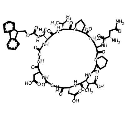 CC(C)[C@@H]1NC(=O)[C@@H](C(C)NC(=O)OCC2c3ccccc3-c3ccccc32)NC(=O)CNC(=O)C(CC(=O)O)NC(=O)CNC(=O)[C@H](CC(=O)O)NC(=O)[C@H](C(C)C(=O)O)NC(=O)[C@H]2CCCCN2C(=O)C(NC(=O)[C@@H](N)CC(N)=O)[C@@H](C)NC(=O)[C@@H]2CCCN2C1=O